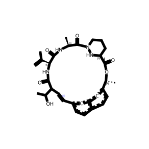 C=C(C)[C@@H]1NC(=O)C(C(C)O)/C=C/c2ccc3ccc(cc3c2)[C@@H](C)OC(=O)[C@@H]2CCCN(N2)C(=O)[C@H](C)NC1=O